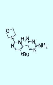 CC(C)(C)c1cnc(N2CCOCC2)nc1-c1cnc(N)nc1N